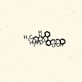 CC(C)CC(NC(=O)c1ccccc1-c1ccccc1CN(Cc1ccccc1)C(=O)O)C(N)=O